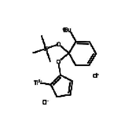 CC(C)(C)C1=CC=CCC1(OC1=[C]([Ti+2])CC=C1)O[Si](C)(C)C.[Cl-].[Cl-]